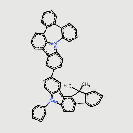 CC1(C)c2ccccc2-c2ccc3c(c21)c1cc(-c2ccc4c(c2)c2cccc5c2n4-c2ccccc2-c2ccccc2-5)ccc1n3-c1ccccc1